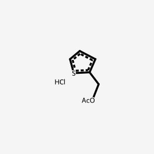 CC(=O)OCc1cccs1.Cl